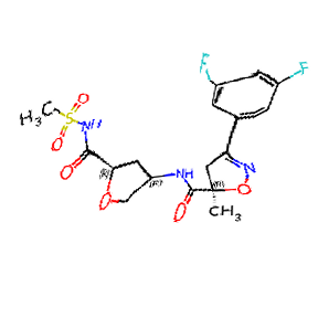 C[C@]1(C(=O)N[C@H]2CO[C@@H](C(=O)NS(C)(=O)=O)C2)CC(c2cc(F)cc(F)c2)=NO1